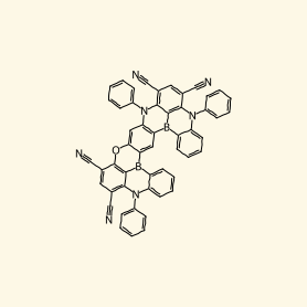 N#Cc1cc(C#N)c2c3c1Oc1cc4c(cc1B3c1ccccc1N2c1ccccc1)B1c2ccccc2N(c2ccccc2)c2c(C#N)cc(C#N)c(c21)N4c1ccccc1